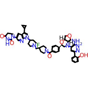 Nc1nnc(-c2ccccc2O)cc1N1C[C@@H](c2ccc(C(=O)N3CCC(F)(CN4CCC(n5cc(C6CC6)c6cc(N7CCC(=O)NC7=O)cnc65)CC4)CC3)cc2)O[C@H]2COC[C@H]21